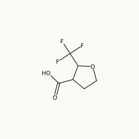 O=C(O)C1CCOC1C(F)(F)F